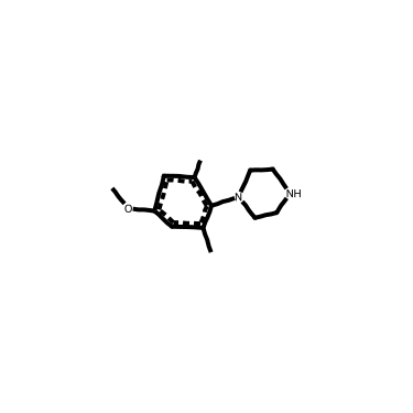 COc1cc(C)c(N2CCNCC2)c(C)c1